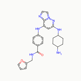 NC1CCC(Nc2cc(Nc3ccc(C(=O)NCc4ccco4)cc3)c3nccn3n2)CC1